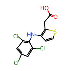 O=C(O)Cc1sccc1Nc1c(Cl)cc(Cl)cc1Cl